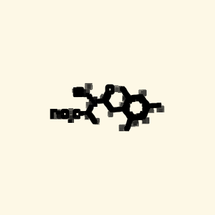 CCOC(=O)[C@H](C)N(C(=O)Cc1c(C)cc(C)cc1C)C(C)(C)C